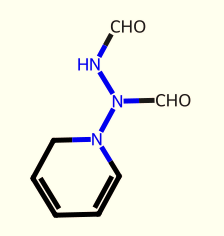 O=CNN(C=O)N1C=CC=CC1